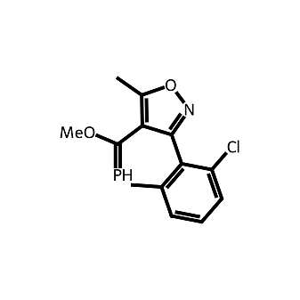 COC(=P)c1c(-c2c(C)cccc2Cl)noc1C